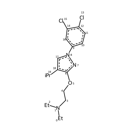 CCN(CC)CCOc1nn(-c2ccc(Cl)c(Cl)c2)cc1C(C)C